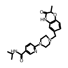 CC(C)NC(=O)c1ccc(N2CCN(Cc3ccc4c(c3)NC(=O)C(C)O4)CC2)nc1